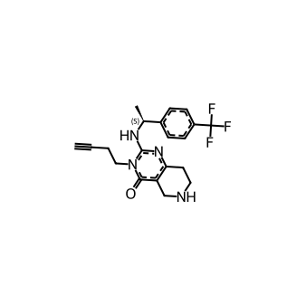 C#CCCn1c(N[C@@H](C)c2ccc(C(F)(F)F)cc2)nc2c(c1=O)CNCC2